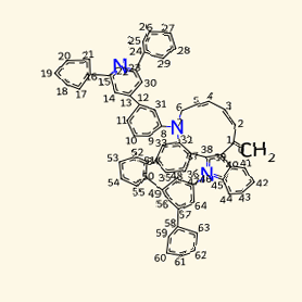 C=C1/C=C\C=C/CN(c2cccc(-c3cc(-c4ccccc4)nc(-c4ccccc4)c3)c2)c2ccccc2-c2c1c1ccccc1n2-c1cc(-c2ccccc2)cc(-c2ccccc2)c1